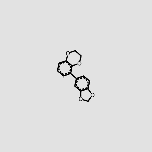 [c]1ccc2c(c1-c1ccc3c(c1)OCO3)OCCO2